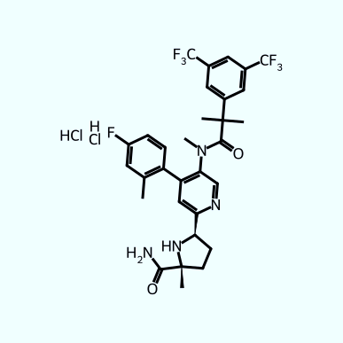 Cc1cc(F)ccc1-c1cc([C@H]2CC[C@](C)(C(N)=O)N2)ncc1N(C)C(=O)C(C)(C)c1cc(C(F)(F)F)cc(C(F)(F)F)c1.Cl.Cl